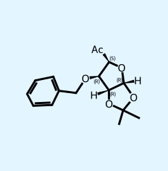 CC(=O)[C@H]1O[C@@H]2OC(C)(C)O[C@@H]2[C@H]1OCc1ccccc1